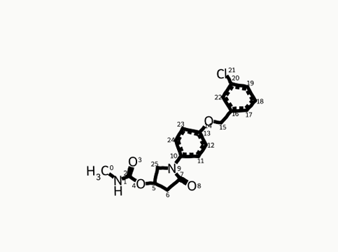 CNC(=O)OC1CC(=O)N(c2ccc(OCc3cccc(Cl)c3)cc2)C1